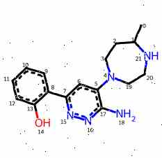 CC1CCN(c2cc(-c3ccccc3O)nnc2N)CCN1